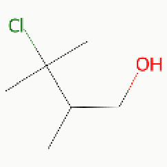 CC(CO)C(C)(C)Cl